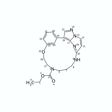 CCOC(=O)N1CCCNc2ccn3ncc(c3n2)-c2cccc(c2)OCC1